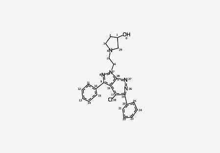 OC1CCN(CCn2nc(-c3ccccc3)c3c(Cl)c(-c4ccccc4)nnc32)C1